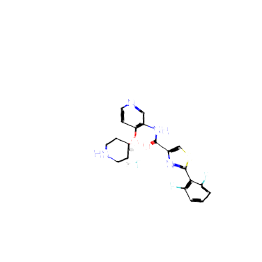 O=C(Nc1cnccc1O[C@@H]1CCNC[C@H]1F)c1csc(-c2c(F)cccc2F)n1